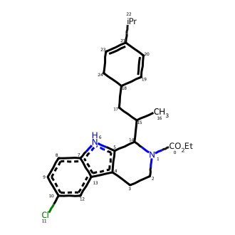 CCOC(=O)N1CCc2c([nH]c3ccc(Cl)cc23)C1C(C)CC1C=CC(C(C)C)=CC1